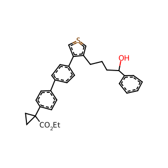 CCOC(=O)C1(c2ccc(-c3ccc(-c4cscc4CCCC(O)c4ccccc4)cc3)cc2)CC1